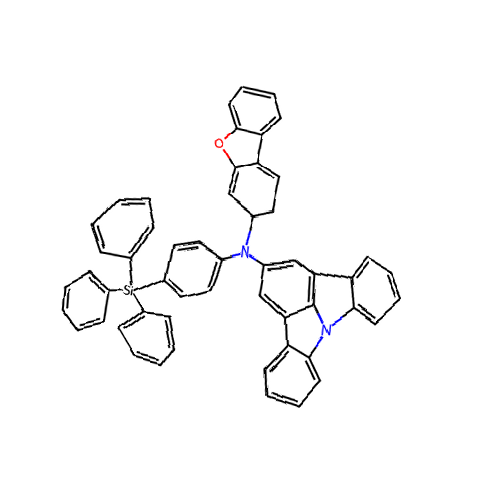 C1=c2oc3ccccc3c2=CCC1N(c1ccc([Si](c2ccccc2)(c2ccccc2)c2ccccc2)cc1)c1cc2c3ccccc3n3c4ccccc4c(c1)c23